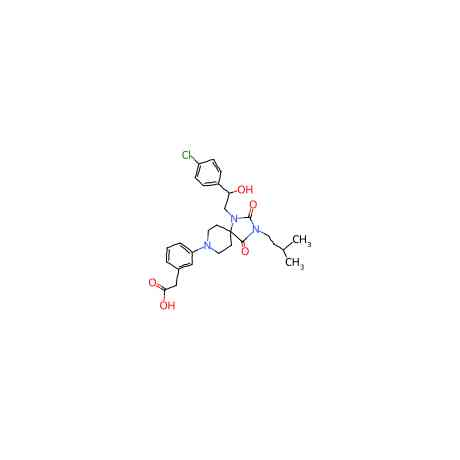 CC(C)CCN1C(=O)N(CC(O)c2ccc(Cl)cc2)C2(CCN(c3cccc(CC(=O)O)c3)CC2)C1=O